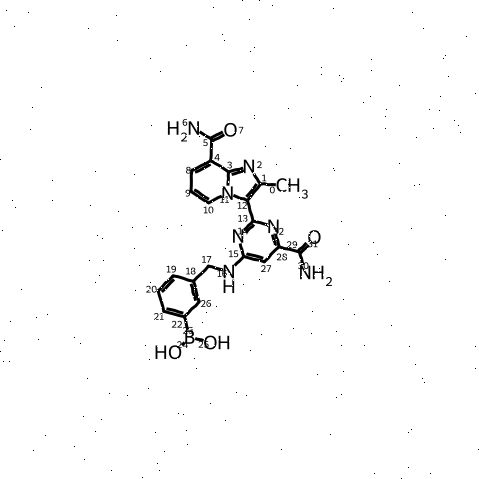 Cc1nc2c(C(N)=O)cccn2c1-c1nc(NCc2cccc(B(O)O)c2)cc(C(N)=O)n1